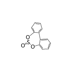 O=S1Oc2ccccc2-c2ccccc2O1